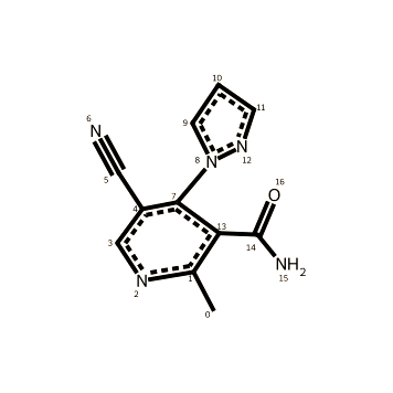 Cc1ncc(C#N)c(-n2cccn2)c1C(N)=O